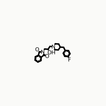 O=C1c2ccccc2C(=O)N1CC(O)CN1CCC(Cc2ccc(F)cc2)CC1